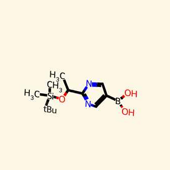 CC(O[Si](C)(C)C(C)(C)C)c1ncc(B(O)O)cn1